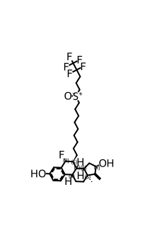 C=C1[C@H](O)C[C@H]2[C@@H]3[C@H](CCCCCCCCC[S+]([O-])CCCC(F)(F)C(F)(F)F)[C@@H](F)c4cc(O)ccc4[C@H]3CC[C@]12C